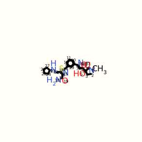 CN1CC[C@@](O)(c2cc(-c3cccc(-c4nc(C(N)=O)c(CNC5CCCC5)s4)c3)no2)C1=O